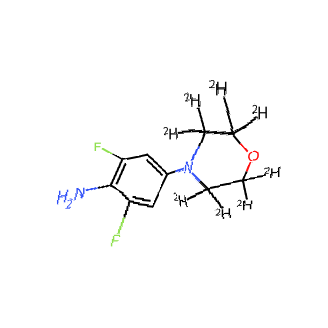 [2H]C1([2H])OC([2H])([2H])C([2H])([2H])N(c2cc(F)c(N)c(F)c2)C1([2H])[2H]